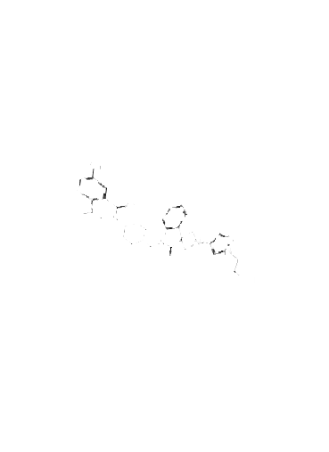 O=C(N[C@H]1CC[C@H](CN2C(=O)C3(CN(c4cnn(CCO)c4)C3)c3ccccc32)CC1)c1cc(Cl)cnc1C(F)F